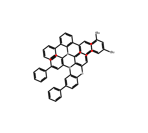 CC(C)(C)c1cc(-c2cc3c4c(c2)N(c2c(-c5ccccc5)cccc2-c2ccccc2)c2ccc(-c5ccccc5)cc2B4c2cc(-c4ccccc4)ccc2S3)cc(C(C)(C)C)c1